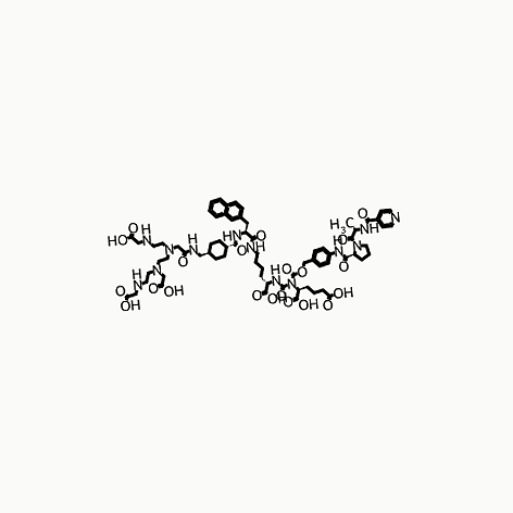 C[C@@H](NC(=O)c1ccncc1)C(=O)N1CCC[C@H]1C(=O)Nc1ccc(COC(=O)N(C(=O)N[C@@H](CCCCNC(=O)[C@H](Cc2ccc3ccccc3c2)NC(=O)[C@H]2CC[C@H](CNC(=O)CN(CCNCC(=O)O)CCN(CCNCC(=O)O)CC(=O)O)CC2)C(=O)O)[C@@H](CCCC(=O)O)C(=O)O)cc1